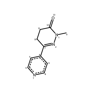 CN1N=C(c2ccncc2)CCC1=O